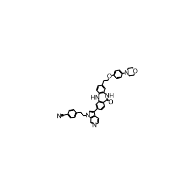 N#Cc1ccc(CCn2cc(-c3ccc4c(c3)Nc3ccc(CCOc5ccc(N6CCOCC6)cc5)cc3NC4=O)c3ccncc32)cc1